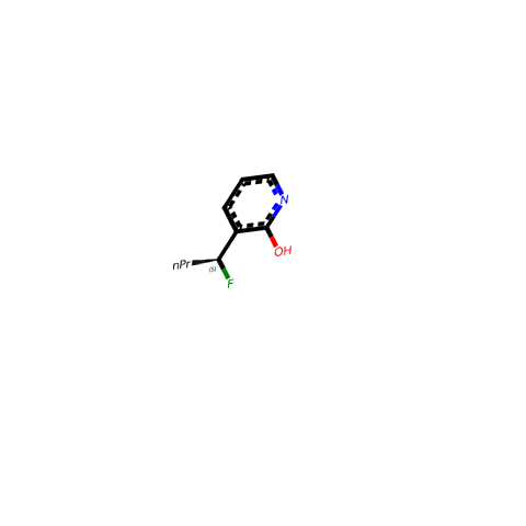 CCC[C@H](F)c1cccnc1O